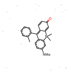 CNc1ccc2c(c1)[Si](C)(C)C1=CC(=O)C=CC1=C2c1ccccc1C